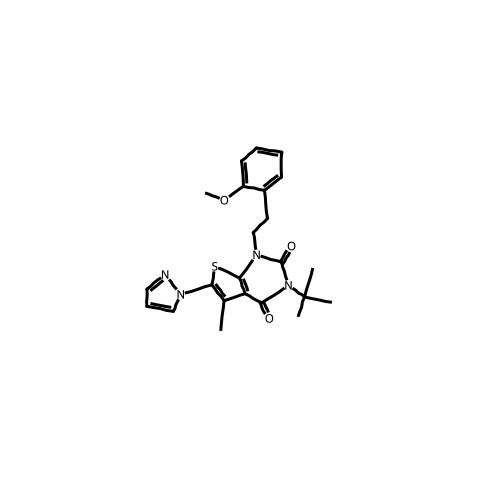 COc1ccccc1CCn1c(=O)n(C(C)(C)C)c(=O)c2c(C)c(-n3cccn3)sc21